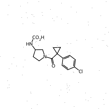 O=C(O)NC1CCN(C(=O)C2(c3ccc(Cl)cc3)CC2)C1